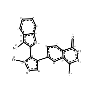 CCc1n[nH]c(=O)c2ccc(-c3cnn(CC)c3-c3sc4ccccc4c3C#N)cc12